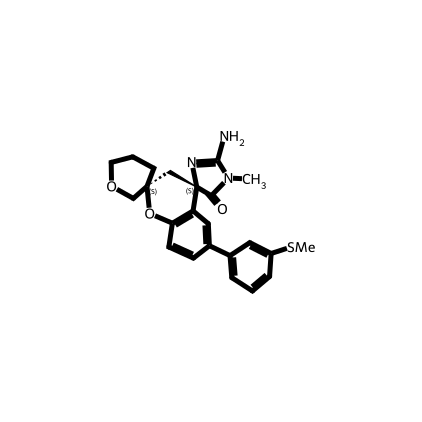 CSc1cccc(-c2ccc3c(c2)[C@]2(C[C@]4(CCCOC4)O3)N=C(N)N(C)C2=O)c1